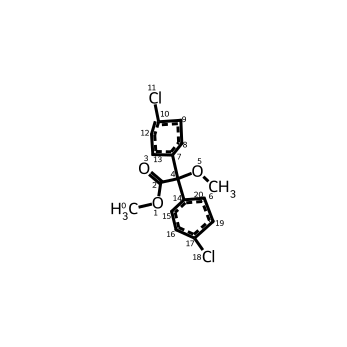 COC(=O)C(OC)(c1ccc(Cl)cc1)c1ccc(Cl)cc1